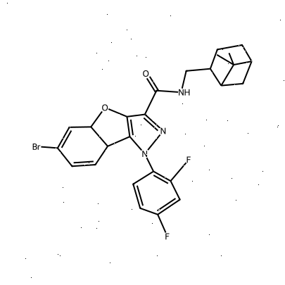 CC1(C)C2CCC(CNC(=O)c3nn(-c4ccc(F)cc4F)c4c3OC3C=C(Br)C=CC43)C1C2